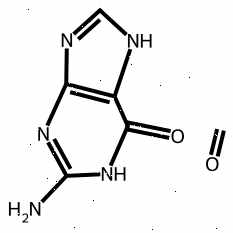 C=O.Nc1nc2nc[nH]c2c(=O)[nH]1